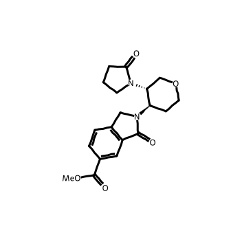 COC(=O)c1ccc2c(c1)C(=O)N([C@@H]1CCOC[C@H]1N1CCCC1=O)C2